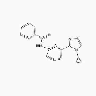 O=C(Nc1cccc(-c2nncn2C2CC2)n1)c1ccccc1